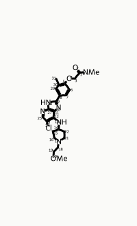 CNC(=O)COc1ccc(-c2nc3c(NC4CCN(CCOC)CC4)c(Cl)cnc3[nH]2)cc1C